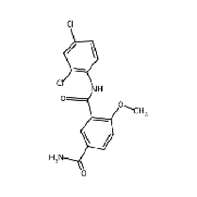 COc1ccc(C(N)=O)cc1C(=O)Nc1ccc(Cl)cc1Cl